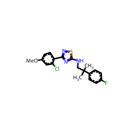 COc1ccc(-c2nsc(NCC(C)(C)c3ccc(F)cc3)n2)c(Cl)c1